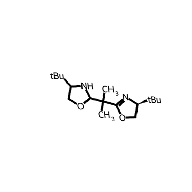 CC(C)(C)C1COC(C(C)(C)C2=N[C@@H](C(C)(C)C)CO2)N1